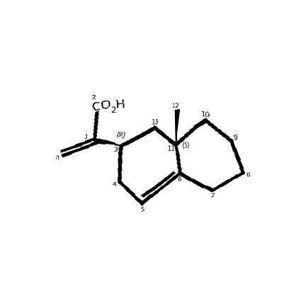 C=C(C(=O)O)[C@@H]1CC=C2CCCC[C@@]2(C)C1